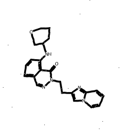 O=c1c2c(NC3CCCOC3)cccc2cnn1CCc1cn2ccccc2n1